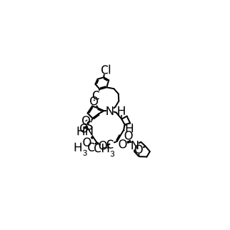 CC1(C)OC/C=C/[C@H](OC(=O)N2CC3CCC(C2)O3)[C@@H]2CC[C@H]2CN2CCCCc3cc(Cl)ccc3COc3ccc(cc32)S(=O)(=O)NC1=O